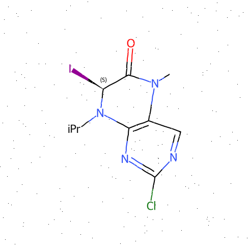 CC(C)N1c2nc(Cl)ncc2N(C)C(=O)[C@@H]1I